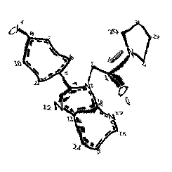 O=C(Cn1c(-c2ccc(Cl)cc2)nc2cccnc21)N1CCCC1